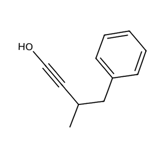 CC(C#CO)Cc1ccccc1